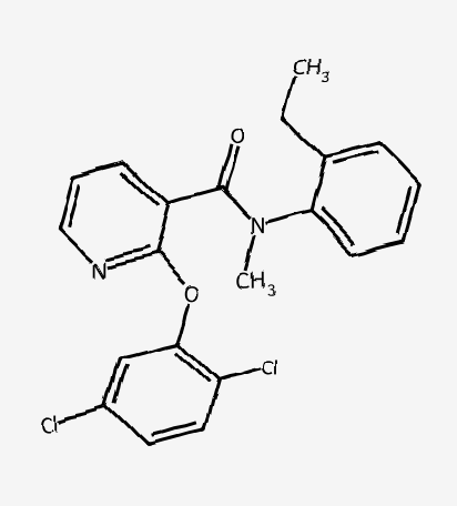 CCc1ccccc1N(C)C(=O)c1cccnc1Oc1cc(Cl)ccc1Cl